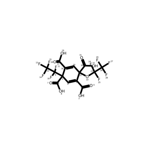 O=C(O)C1=CC(C(=O)O)(C(F)(F)C(F)(F)F)C(C(=O)O)=CC1(OC(F)(F)C(F)(F)F)C(=O)O